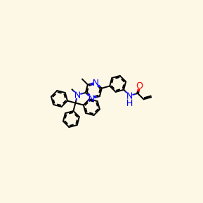 C=CC(=O)Nc1cccc(-c2cnc(N(C)C(c3ccccc3)(c3ccccc3)c3ccccc3)c(C)n2)c1